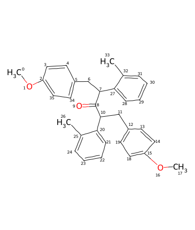 COc1ccc(CC(C(=O)C(Cc2ccc(OC)cc2)c2ccccc2C)c2ccccc2C)cc1